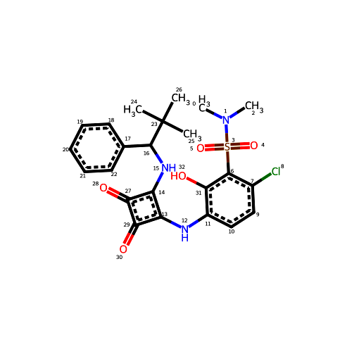 CN(C)S(=O)(=O)c1c(Cl)ccc(Nc2c(NC(c3ccccc3)C(C)(C)C)c(=O)c2=O)c1O